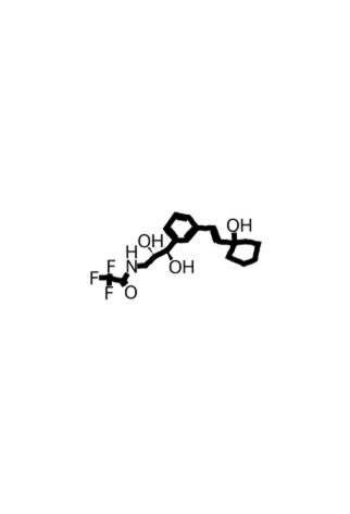 O=C(NC[C@H](O)[C@H](O)c1cccc(/C=C/C2(O)CCCCC2)c1)C(F)(F)F